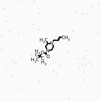 CC=CCN1CCN(C(=O)OC(C)(C)C)CC1C